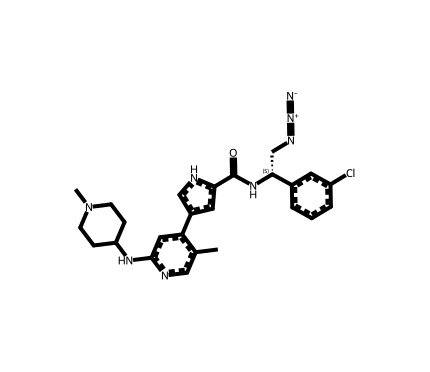 Cc1cnc(NC2CCN(C)CC2)cc1-c1c[nH]c(C(=O)N[C@H](CN=[N+]=[N-])c2cccc(Cl)c2)c1